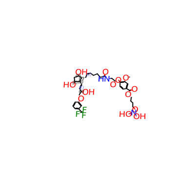 COc1cc(C(=O)OCCCCON(O)O)ccc1OC(=O)CNC(=O)CCC/C=C\C[C@@H]1[C@@H](/C=C/[C@@H](O)COc2cccc(C(F)(F)F)c2)[C@H](O)C[C@@H]1O